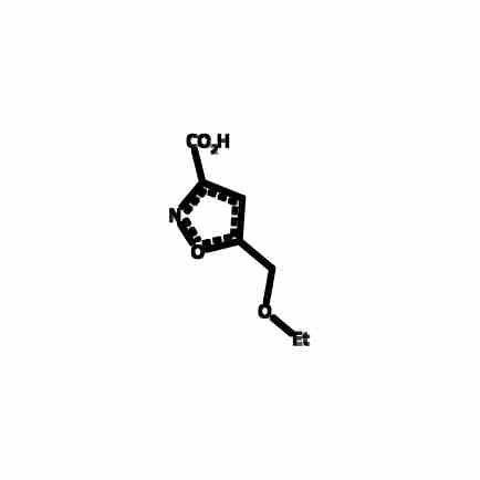 CCOCc1cc(C(=O)O)no1